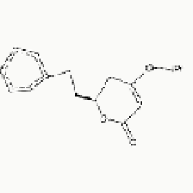 CC(C)OC1=CC(=O)O[C@@H](CCc2ccccc2)C1